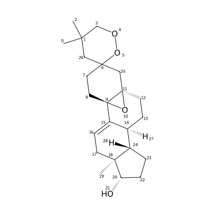 CC1(C)COOC2(CC[C@]34O[C@]3(CC[C@@H]3C4=CC[C@]4(C)[C@@H](O)CC[C@@H]34)C2)C1